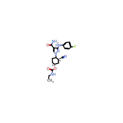 CCNC(=O)O[C@@H]1CCC(n2cc(C(N)=O)c(Nc3ccc(F)cc3)n2)[C@@H](C#N)C1